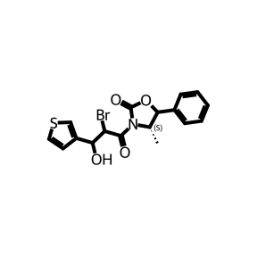 C[C@H]1C(c2ccccc2)OC(=O)N1C(=O)C(Br)C(O)c1ccsc1